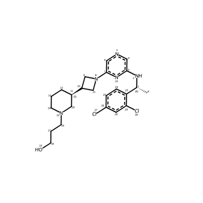 C[C@@H](Nc1cncc(N2CC([C@@H]3CCCN(CCCO)C3)C2)n1)c1ccc(Cl)cc1Cl